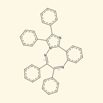 c1ccc(C2=N/c3ccccc3-c3nc(-c4ccccc4)c(-c4ccccc4)n3/N=C\2c2ccccc2)cc1